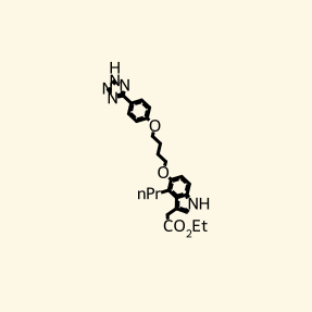 CCCc1c(OCCCCOc2ccc(-c3nn[nH]n3)cc2)ccc2[nH]cc(CC(=O)OCC)c12